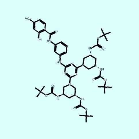 CC(C)(C)OC(=O)N[C@@H]1C[C@H](NC(=O)OC(C)(C)C)CN(c2nc(Nc3cccc(NC(=O)c4ccc(O)cc4O)c3)nc(N3C[C@H](NC(=O)OC(C)(C)C)C[C@H](NC(=O)OC(C)(C)C)C3)n2)C1